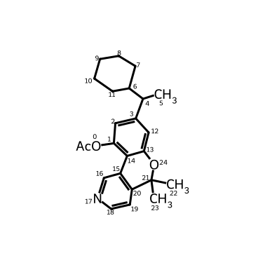 CC(=O)Oc1cc(C(C)C2CCCCC2)cc2c1-c1cnccc1C(C)(C)O2